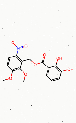 COc1ccc([N+](=O)[O-])c(COC(=O)c2cccc(O)c2O)c1OC